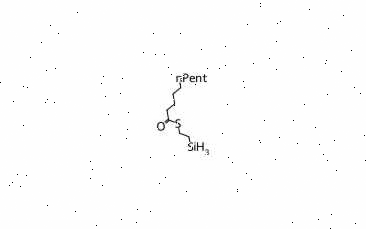 CCCCCCCCCC(=O)SCC[SiH3]